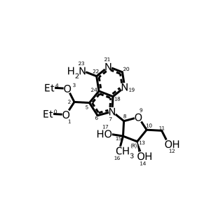 CCOC(OCC)c1cn(C2OC(CO)[C@@H](O)C2(C)O)c2ncnc(N)c12